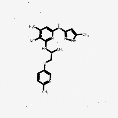 Cc1ccc(OCC(C)Nc2nc(Nc3cc(C)[nH]n3)cc(C)c2C#N)cn1